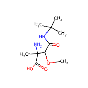 COC(C(=O)NC(C)(C)C)C(C)(N)C(=O)O